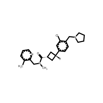 Cc1cccnc1CN(C)C(=O)[C@H]1C[C@@](F)(c2ccc(CN3CCCC3)c(Cl)c2)C1